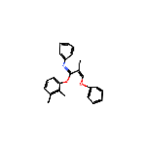 CC(=COc1ccccc1)C(=Nc1ccccc1)Oc1cccc(C)c1C